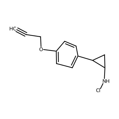 C#CCOc1ccc(C2CC2NCl)cc1